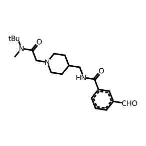 CN(C(=O)CN1CCC(CNC(=O)c2cccc(C=O)c2)CC1)C(C)(C)C